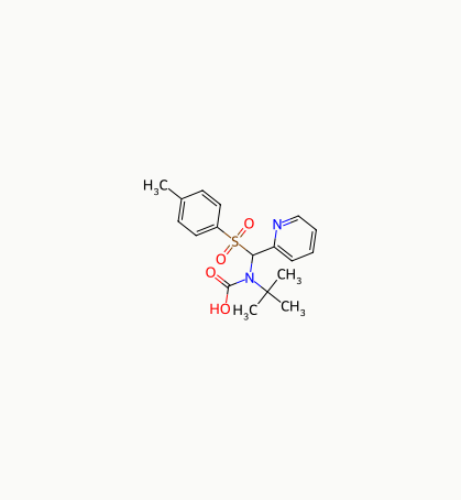 Cc1ccc(S(=O)(=O)C(c2ccccn2)N(C(=O)O)C(C)(C)C)cc1